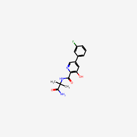 CC(C)(NC(=O)c1ncc(-c2cccc(F)c2)cc1O)C(N)=O